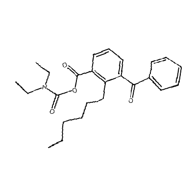 CCCCCCc1c(C(=O)OC(=O)N(CC)CC)cccc1C(=O)c1ccccc1